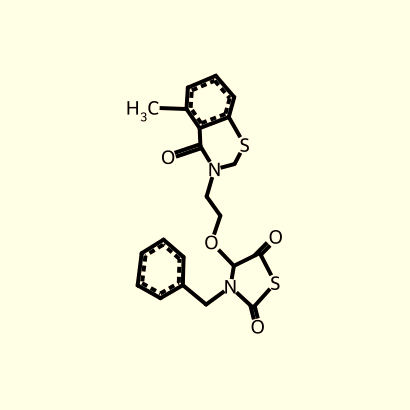 Cc1cccc2c1C(=O)N(CCOC1C(=O)SC(=O)N1Cc1ccccc1)CS2